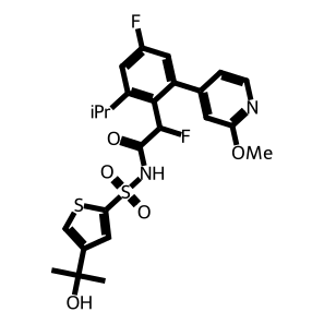 COc1cc(-c2cc(F)cc(C(C)C)c2C(F)C(=O)NS(=O)(=O)c2cc(C(C)(C)O)cs2)ccn1